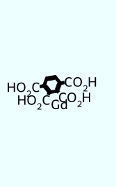 O=C(O)c1ccc(C(=O)O)c(C(=O)O)c1C(=O)O.[Gd]